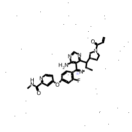 C=CC(=O)N1CCC(C(CC)c2ncnc(N)c2/C(=N\C)c2ccc(Oc3ccnc(C(=O)NC)c3)cc2F)C1